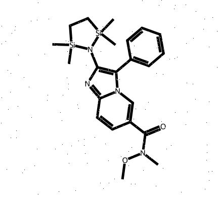 CON(C)C(=O)c1ccc2nc(N3[Si](C)(C)CC[Si]3(C)C)c(-c3ccccc3)n2c1